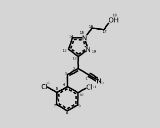 N#CC(=Cc1c(Cl)cccc1Cl)c1ccn(CCO)n1